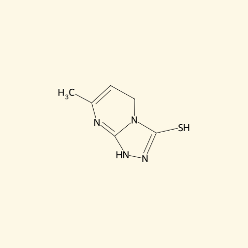 CC1=CCN2C(S)=NNC2=N1